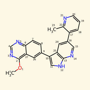 COc1ncnc2ccc(-c3c[nH]c4ncc(-c5cccnc5C)cc34)cc12